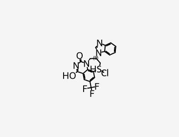 O=c1nc(O)c2cc(C(F)(F)F)cc3c2n1C[C@H](n1cnc2ccccc21)C[SH]3Cl